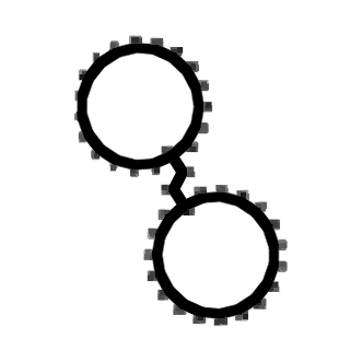 [CH]1CCCCCCCCCC(CCC2CCCCCCCC[CH]CCCCCCCCC2)CCCCCCCC1